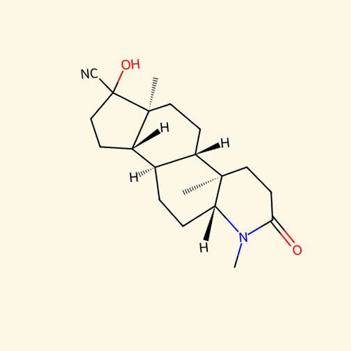 CN1C(=O)CC[C@]2(C)[C@H]3CC[C@@]4(C)[C@@H](CCC4(O)C#N)[C@@H]3CC[C@@H]12